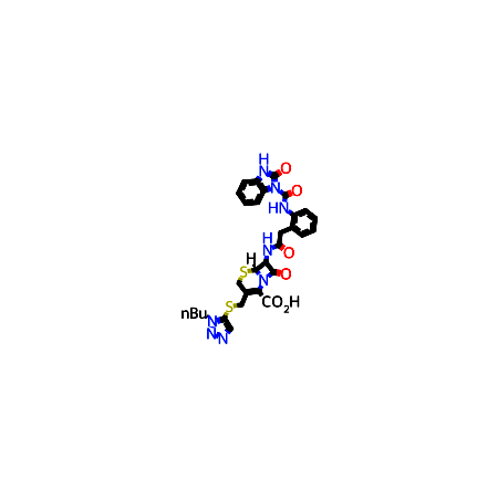 CCCCn1nncc1SCC1=C(C(=O)O)N2C(=O)C(NC(=O)Cc3ccccc3NC(=O)n3c(=O)[nH]c4ccccc43)[C@H]2SC1